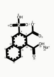 O=C([O-])c1c(S(=O)(=O)O)cc2ccccc2c1C(=O)O.[Na+]